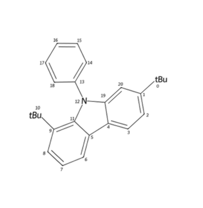 CC(C)(C)c1ccc2c3cccc(C(C)(C)C)c3n(-c3ccccc3)c2c1